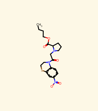 CCCCOC(=O)C1CCCN1CC(=O)N1CCSc2cc([N+](=O)[O-])ccc21